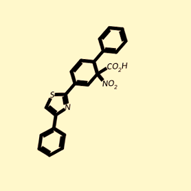 O=C(O)C1([N+](=O)[O-])C=C(c2nc(-c3ccccc3)cs2)C=CC1c1ccccc1